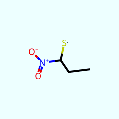 CCC([S])[N+](=O)[O-]